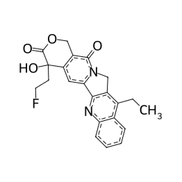 CCc1c2c(nc3ccccc13)-c1cc3c(c(=O)n1C2)COC(=O)C3(O)CCF